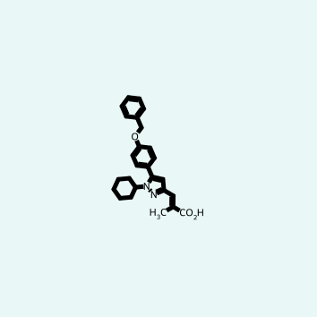 C/C(=C\c1cc(-c2ccc(OCc3ccccc3)cc2)n(C2CCCCC2)n1)C(=O)O